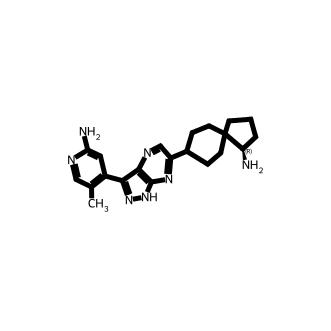 Cc1cnc(N)cc1-c1n[nH]c2nc(C3CCC4(CCC[C@H]4N)CC3)cnc12